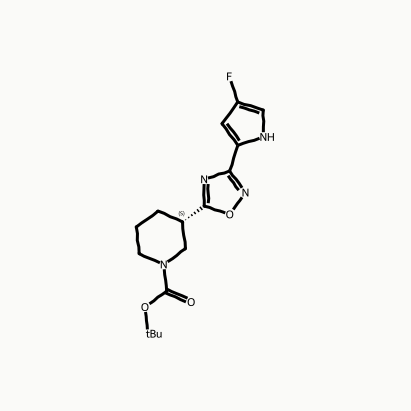 CC(C)(C)OC(=O)N1CCC[C@H](c2nc(-c3cc(F)c[nH]3)no2)C1